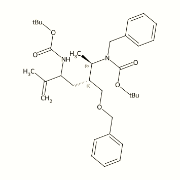 C=C(C)C(C[C@@H](COCc1ccccc1)[C@@H](C)N(Cc1ccccc1)C(=O)OC(C)(C)C)NC(=O)OC(C)(C)C